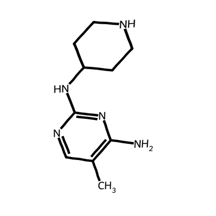 Cc1cnc(NC2CCNCC2)nc1N